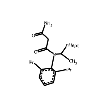 CCCCCCCC(C)N(C(=O)CC(N)=O)c1c(C(C)C)cccc1C(C)C